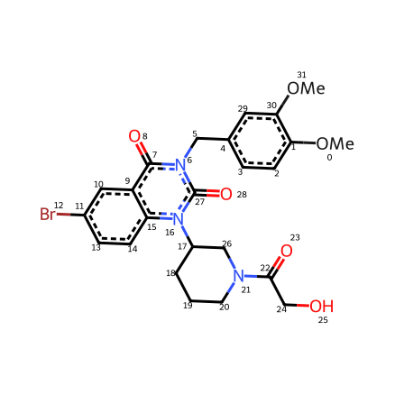 COc1ccc(Cn2c(=O)c3cc(Br)ccc3n(C3CCCN(C(=O)CO)C3)c2=O)cc1OC